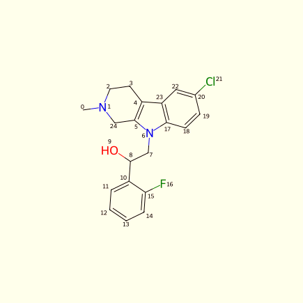 CN1CCc2c(n(CC(O)c3ccccc3F)c3ccc(Cl)cc23)C1